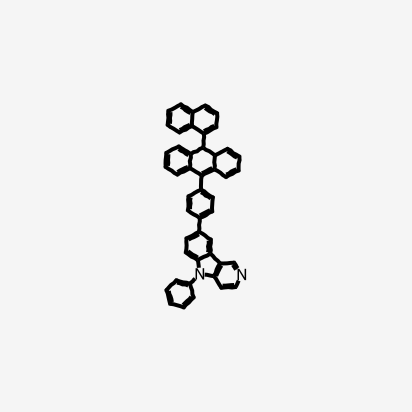 C1=CC2=C(c3ccc(-c4ccc5c(c4)c4cnccc4n5-c4ccccc4)cc3)c3ccccc3C(c3cccc4ccccc34)C2C=C1